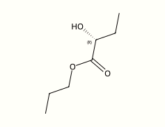 CCCOC(=O)[C@H](O)CC